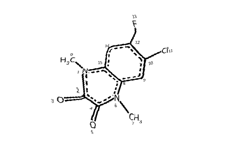 Cn1c(=O)c(=O)n(C)c2cc(Cl)c(F)cc21